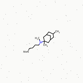 CNCCCCN(C)C1(C)CC2CC(C)CC(C2)C1